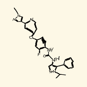 CC(C)n1ncc(NC(=O)Nc2ccc(Oc3ccnc(-c4cnn(C)c4)c3)cc2F)c1-c1ccccc1